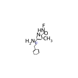 Cc1cc(/C(N)=C/CC2=CCCC=C2)cnc1C(=O)NCF